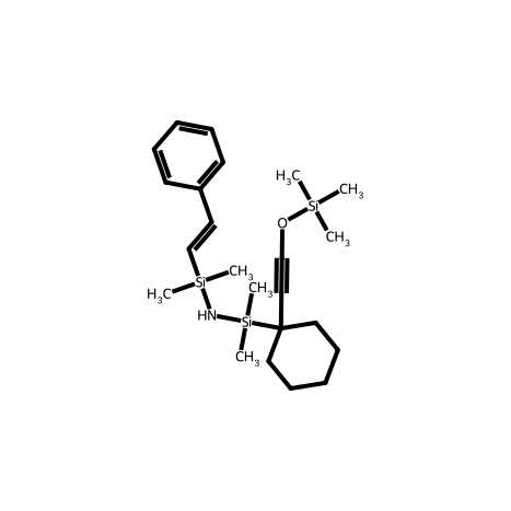 C[Si](C)(C=Cc1ccccc1)N[Si](C)(C)C1(C#CO[Si](C)(C)C)CCCCC1